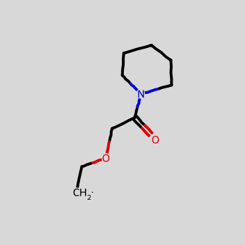 [CH2]COCC(=O)N1CCCCC1